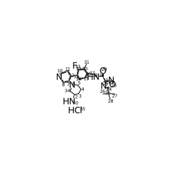 CNC1CCCN(c2cnccc2-c2ccc(CNC(=O)c3noc(C(C)(C)C)n3)c(C)c2F)C1.Cl